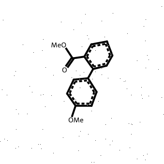 COC(=O)c1ccccc1-c1ccc(OC)cc1